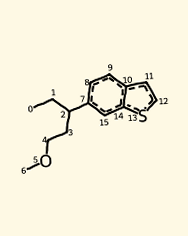 CCC(CCOC)c1ccc2ccsc2c1